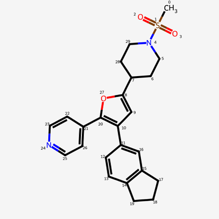 CS(=O)(=O)N1CCC(c2cc(-c3ccc4c(c3)CCC4)c(-c3ccncc3)o2)CC1